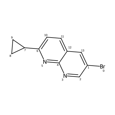 Brc1cnc2nc(C3CC3)ccc2c1